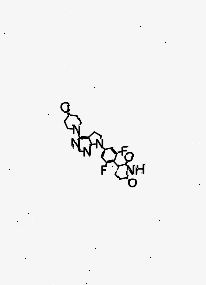 O=C1CCN(c2ncnc3c2CCN3c2cc(F)c(C3CCC(=O)NC3=O)c(F)c2)CC1